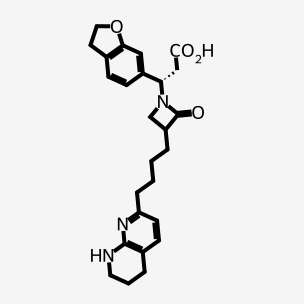 O=C(O)C[C@@H](c1ccc2c(c1)OCC2)N1CC(CCCCc2ccc3c(n2)NCCC3)C1=O